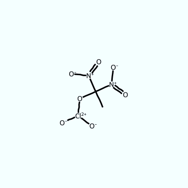 CC(O[Cl+2]([O-])[O-])([N+](=O)[O-])[N+](=O)[O-]